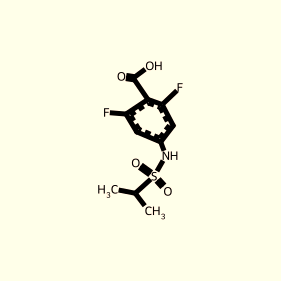 CC(C)S(=O)(=O)Nc1cc(F)c(C(=O)O)c(F)c1